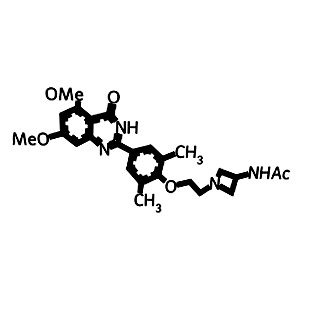 COc1cc(OC)c2c(=O)[nH]c(-c3cc(C)c(OCCN4CC(NC(C)=O)C4)c(C)c3)nc2c1